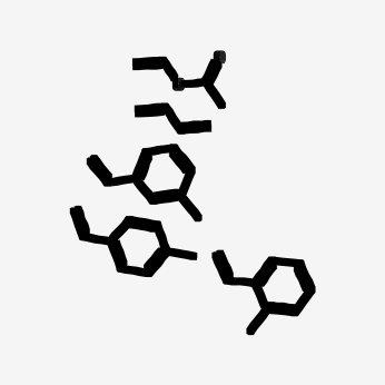 C=CC=C.C=COC(C)=O.C=Cc1ccc(C)cc1.C=Cc1cccc(C)c1.C=Cc1ccccc1C